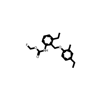 CCc1ccc(OCc2c(CC)cccc2NC(=O)OCF)c(C)c1